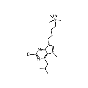 Cc1cn(CCCC[SH](C)(C)(C)C)c2nc(Cl)nc(CC(C)C)c12